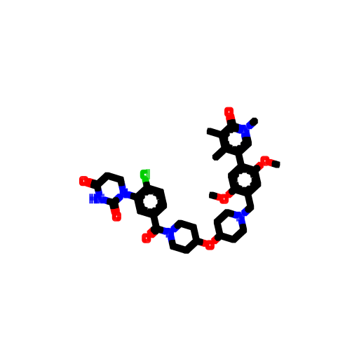 COc1cc(-c2cn(C)c(=O)c(C)c2C)c(OC)cc1CN1CCC(OC2CCN(C(=O)c3ccc(Cl)c(N4CCC(=O)NC4=O)c3)CC2)CC1